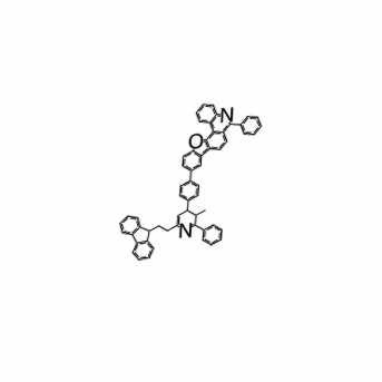 CC1C(c2ccccc2)=NC(CCC2c3ccccc3-c3ccccc32)=CC1c1ccc(-c2ccc3oc4c(ccc5c(-c6ccccc6)nc6ccccc6c54)c3c2)cc1